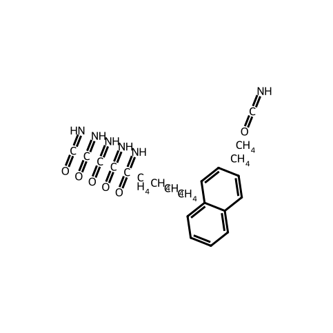 C.C.C.C.C.C.N=C=O.N=C=O.N=C=O.N=C=O.N=C=O.N=C=O.c1ccc2ccccc2c1